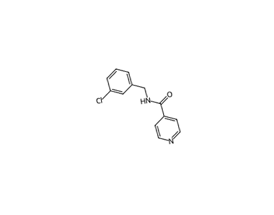 O=C(NCc1cccc(Cl)c1)c1ccncc1